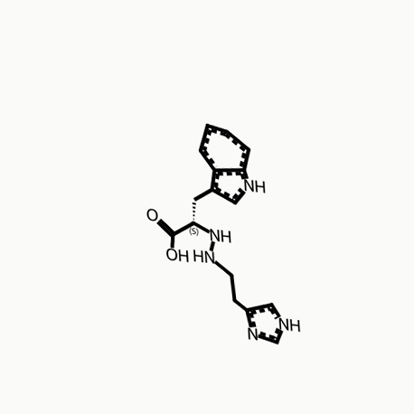 O=C(O)[C@H](Cc1c[nH]c2ccccc12)NNCCc1c[nH]cn1